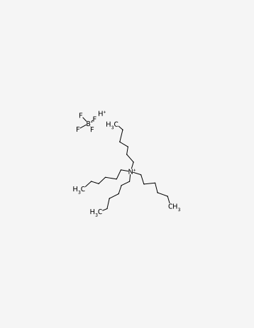 CCCCCC[N+](CCCCCC)(CCCCCC)CCCCCC.F[B-](F)(F)F.[H+]